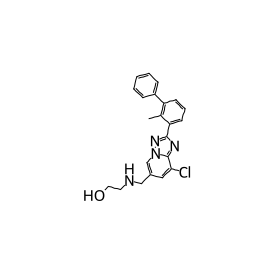 Cc1c(-c2ccccc2)cccc1-c1nc2c(Cl)cc(CNCCO)cn2n1